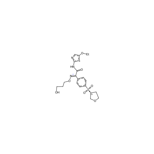 CCOc1cnc(NC(=O)/C(=N/OCCCO)c2ccc(S(=O)(=O)[C@H]3CCOC3)cc2)s1